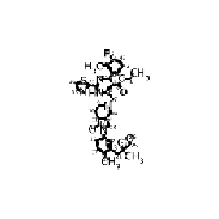 CCOC(=O)C1=C(CN2CCC3C(=O)N(c4ccc(C)c(CC(C)(C)C=O)c4)CC3C2)NC(c2nccs2)=N[C@H]1c1cccc(F)c1C